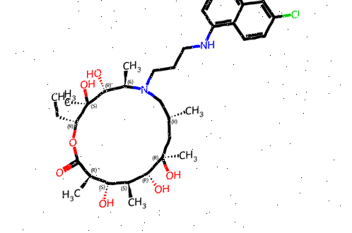 CC[C@H]1OC(=O)[C@H](C)[C@@H](O)[C@H](C)[C@@H](O)[C@](C)(O)C[C@@H](C)CN(CCCNc2ccnc3cc(Cl)ccc23)[C@H](C)[C@@H](O)[C@]1(C)O